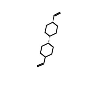 C=CC1CCC([C@H]2CC[C@H](C=C)CC2)CC1